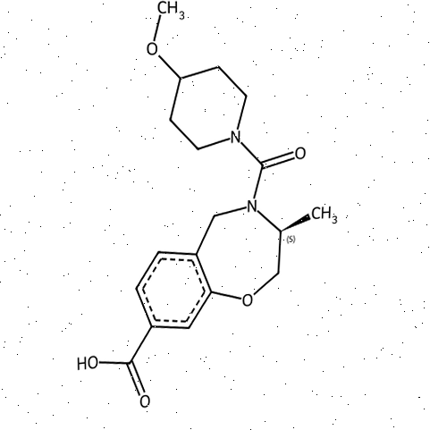 COC1CCN(C(=O)N2Cc3ccc(C(=O)O)cc3OC[C@@H]2C)CC1